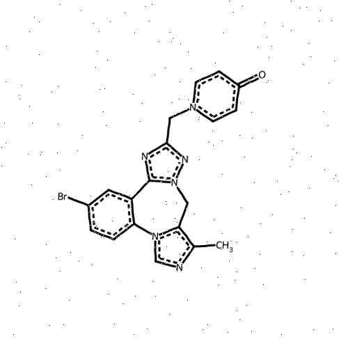 Cc1ncn2c1Cn1nc(Cn3ccc(=O)cc3)nc1-c1cc(Br)ccc1-2